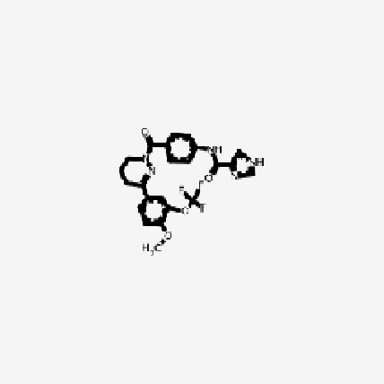 COc1ccc(C2=NN(C(=O)c3ccc(NC(=O)c4c[nH]cn4)cc3)CCC2)cc1OC(F)(F)F